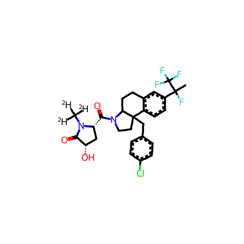 [2H]C([2H])([2H])N1C(=O)[C@@H](O)C[C@H]1C(=O)N1CCC2(Cc3ccc(Cl)cc3)c3ccc(C(C)(F)C(F)(F)F)cc3CCC12